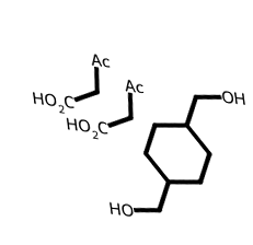 CC(=O)CC(=O)O.CC(=O)CC(=O)O.OCC1CCC(CO)CC1